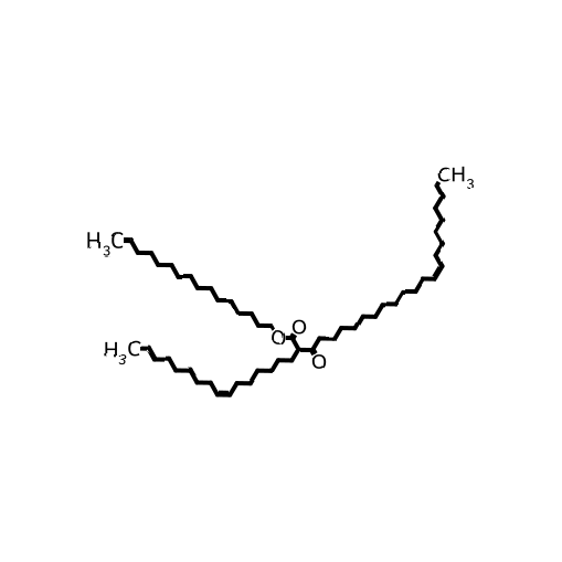 CCCCCCCC/C=C\CCCCCCCCCCCC(=O)C(CCCCCC/C=C\CCCCCCCC)C(=O)OCCCCCCCCCCCCCCCC